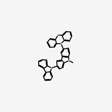 Cn1c2ccc(N3c4ccccc4Sc4ccccc43)cc2c2cc(-n3c4ccccc4c4ccccc43)ccc21